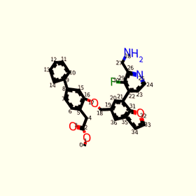 COC(=O)Cc1ccc(-c2ccccc2)cc1OCc1cc(-c2ccnc(CN)c2F)c2occc2c1